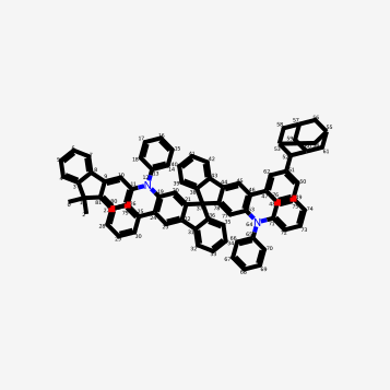 CC1(C)c2ccccc2-c2cc(N(c3ccccc3)c3cc4c(cc3-c3ccccc3)-c3ccccc3C43c4ccccc4-c4cc(-c5cccc(C6C7CC8CC(C7)CC6C8)c5)c(N(c5ccccc5)c5ccccc5)cc43)ccc21